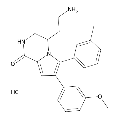 COc1cccc(-c2cc3n(c2-c2cccc(C)c2)C(CCN)CNC3=O)c1.Cl